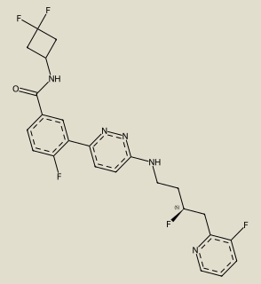 O=C(NC1CC(F)(F)C1)c1ccc(F)c(-c2ccc(NCC[C@H](F)Cc3ncccc3F)nn2)c1